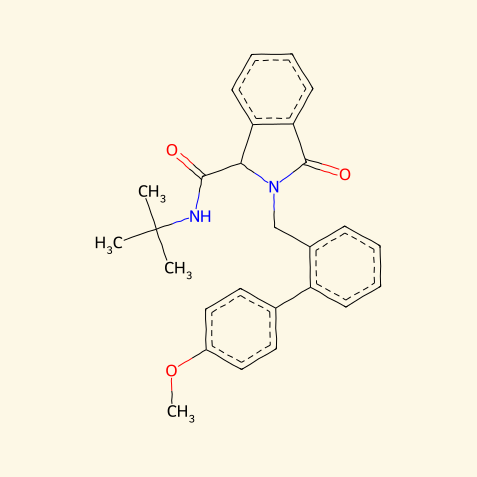 COc1ccc(-c2ccccc2CN2C(=O)c3ccccc3C2C(=O)NC(C)(C)C)cc1